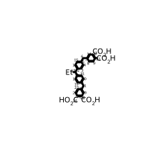 CCC(c1ccc(Cc2ccc(C(=O)O)c(C(=O)O)c2)cc1)c1ccc(Cc2ccc(C(=O)O)c(C(=O)O)c2)cc1